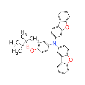 CC1(C)B(Oc2ccc(N(c3ccc4c(c3)oc3ccccc34)c3ccc4oc5ccccc5c4c3)cc2)C1(C)C